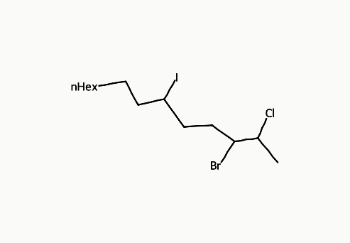 CCCCCCCCC(I)CCC(Br)C(C)Cl